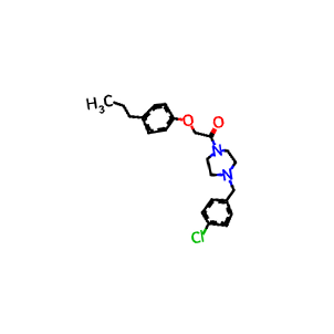 CCCc1ccc(OCC(=O)N2CCN(Cc3ccc(Cl)cc3)CC2)cc1